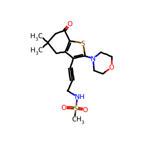 CC1(C)CC(=O)c2sc(N3CCOCC3)c(C#CCNS(C)(=O)=O)c2C1